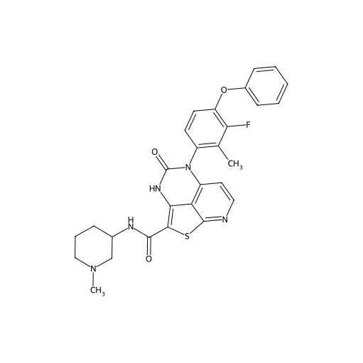 Cc1c(N2C(=O)Nc3c(C(=O)NC4CCCN(C)C4)sc4nccc2c34)ccc(Oc2ccccc2)c1F